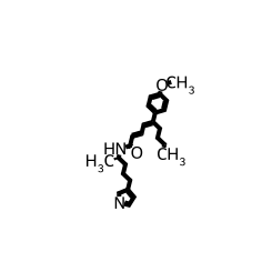 CCCC/C(=C\C=C\C(=O)N[C@H](C)CCCC1=CC=NC1)c1ccc(OC)cc1